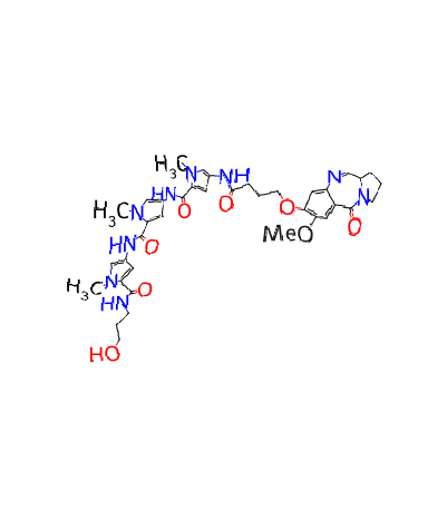 COc1cc2c(cc1OCCCC(=O)Nc1cc(C(=O)Nc3cc(C(=O)Nc4cc(C(=O)NCCCO)n(C)c4)n(C)c3)n(C)c1)N=CC1CCCN1C2=O